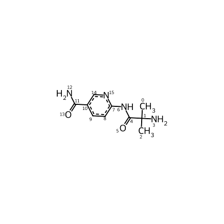 CC(C)(N)C(=O)Nc1ccc(C(N)=O)cn1